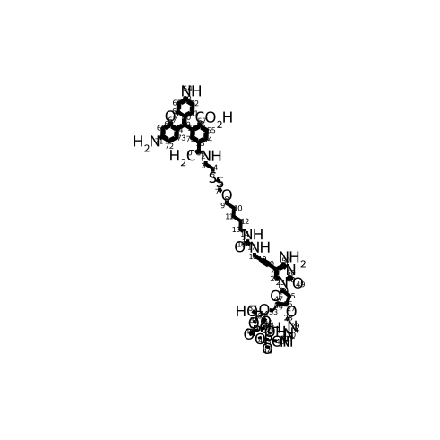 C=C(NCCSSCOCCCCCNC(=O)NCC#Cc1cn([C@H]2CC(OCN=[N+]=[N-])[C@@H](COP(=O)(O)OP(=O)(O)OP(=O)(O)O)O2)c(=O)nc1N)c1ccc(C(=O)O)c(-c2c3ccc(=N)cc-3oc3cc(N)ccc23)c1